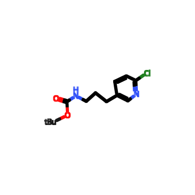 CC(C)(C)OC(=O)NCCCc1ccc(Cl)nc1